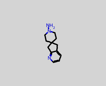 NN1CCC2(CC1)Cc1cccnc1C2